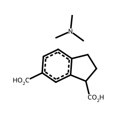 CN(C)C.O=C(O)c1ccc2c(c1)C(C(=O)O)CC2